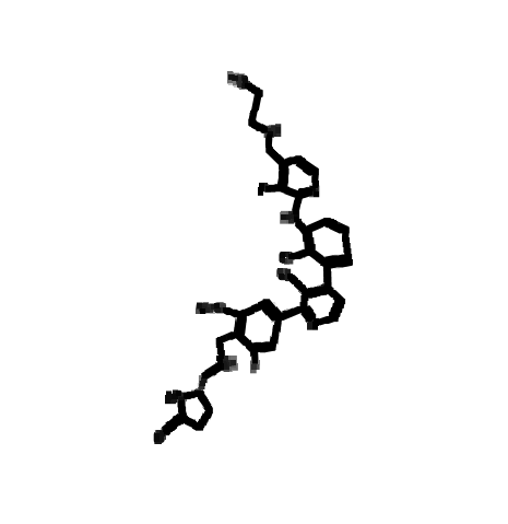 COc1cc(-c2nccc(-c3cccc(Nc4nccc(CNCCO)c4F)c3Cl)c2Cl)cc(F)c1CNC[C@@H]1CCC(=O)N1